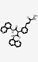 O=C(/C=C/c1cccc(C(C(=O)Nc2cccc3ccncc23)C(=O)Nc2cccc3cccnc23)c1)NO